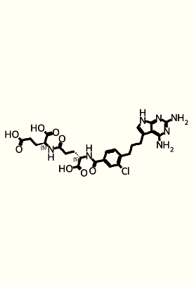 Nc1nc(N)c2c(CCCc3ccc(C(=O)N[C@@H](CCC(=O)N[C@@H](CCC(=O)O)C(=O)O)C(=O)O)cc3Cl)c[nH]c2n1